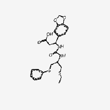 CCSCC(CSc1ccccc1)NC(=O)NC(CC(=O)O)c1ccc2c(c1)OCO2